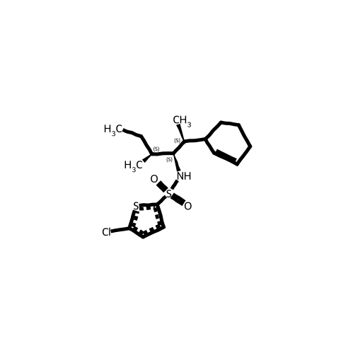 CC[C@H](C)[C@H](NS(=O)(=O)c1ccc(Cl)s1)[C@@H](C)C1C=CCCC1